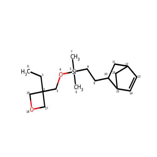 CCC1(CO[Si](C)(C)CCC2CC3C=CC2C3)COC1